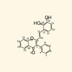 O=c1c(-c2ccccc2)c(/C=C/c2cccc(O)c2O)oc2ccccc12